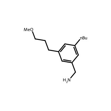 CCCCc1cc(CN)cc(CCCOC)c1